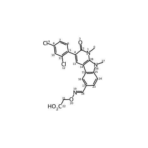 Cn1c(=O)c(-c2ccc(Cl)cc2Cl)cc2c3cc(C=NOCC(=O)O)ccc3n(C)c21